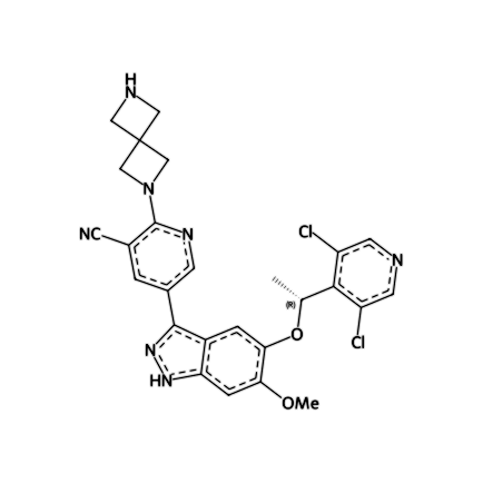 COc1cc2[nH]nc(-c3cnc(N4CC5(CNC5)C4)c(C#N)c3)c2cc1O[C@H](C)c1c(Cl)cncc1Cl